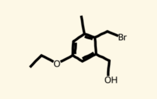 CCOc1cc(C)c(CBr)c(CO)c1